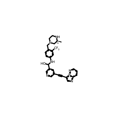 C[C@H]1CN(Cc2ccc(NC(O)c3cncc(C#Cc4cnc5cccnn45)c3)cc2C(F)(F)F)CCN1